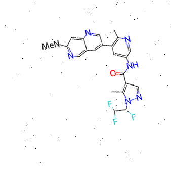 CNc1cc2ncc(-c3cc(NC(=O)c4cnn(C(F)C(F)F)c4C)cnc3C)cc2cn1